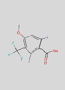 COc1cc(I)c(C(=O)O)c(C)c1C(F)(F)F